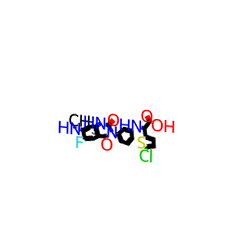 CNc1cc2[nH]c(=O)n(-c3cccc(NC(C(=O)O)c4ccc(Cl)s4)c3)c(=O)c2cc1F